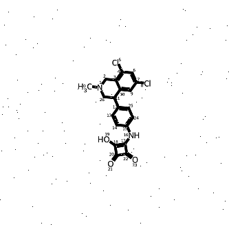 CN1Cc2c(Cl)cc(Cl)cc2C(c2ccc(Nc3c(O)c(=O)c3=O)cc2)C1